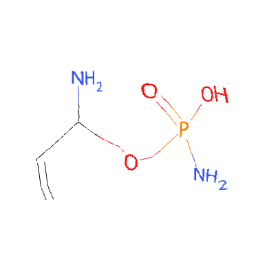 C=CC(N)OP(N)(=O)O